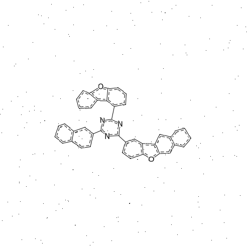 c1ccc2cc(-c3nc(-c4ccc5oc6cc7ccccc7cc6c5c4)nc(-c4cccc5oc6ccccc6c45)n3)ccc2c1